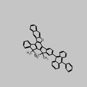 CC1(C)c2cc(-c3c4ccccc4c(-c4ccccc4)c4ccccc34)ccc2-c2c1c1c(c3c2oc2cc4ccccc4cc23)-c2ccccc2C1(C)C